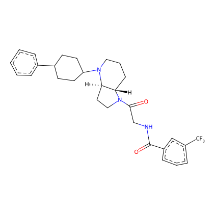 O=C(NCC(=O)N1CC[C@@H]2[C@@H]1CCCN2C1CCC(c2ccccc2)CC1)c1cccc(C(F)(F)F)c1